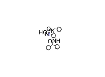 O=C(Nc1ccc2c(c1)/C(=N/O)C(=O)N2Cc1ccccc1)C(c1ccccc1)c1ccccc1